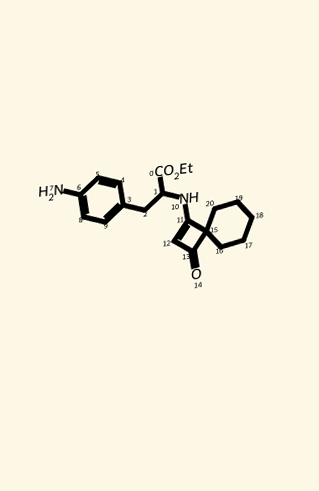 CCOC(=O)C(Cc1ccc(N)cc1)NC1=CC(=O)C12CCCCC2